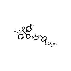 CCOC(=O)c1ccc(C[n+]2ccn(C3CCC(C(C(N)=O)(c4ccccc4)c4ccccc4)C3)c2C)o1.[Br-]